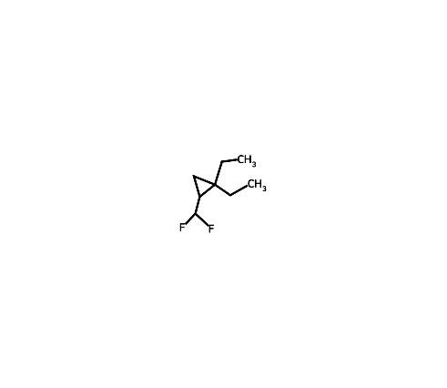 CCC1(CC)CC1C(F)F